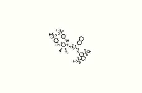 Cc1c(C#N)c(Nc2ccc(S(=O)(=O)O)cc2)nc(Nc2ccc(S(=O)(=O)O)cc2)c1N=NC1=NC(c2ccc3ccccc3c2)C(/N=N/c2cc(S(=O)(=O)O)c3cccc(S(=O)(=O)O)c3c2)S1